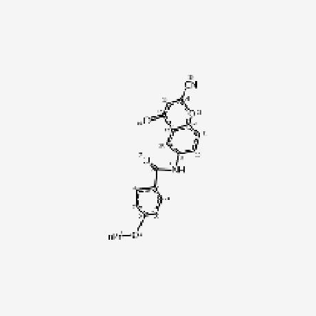 CCCOc1ccc(C(=O)Nc2ccc3oc(C#N)cc(=O)c3c2)cc1